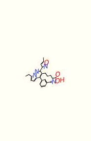 CCc1ccc2c(-c3cccc(C#N)c3)c(CCCCC(=O)O)c(-c3cc(C)on3)nn12